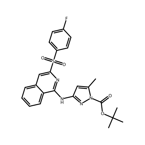 Cc1cc(Nc2nc(S(=O)(=O)c3ccc(F)cc3)cc3ccccc23)nn1C(=O)OC(C)(C)C